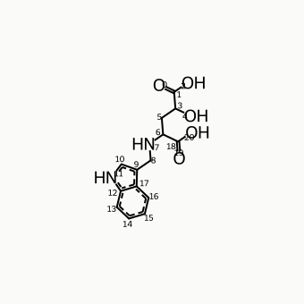 O=C(O)C(O)CC(NCc1c[nH]c2ccccc12)C(=O)O